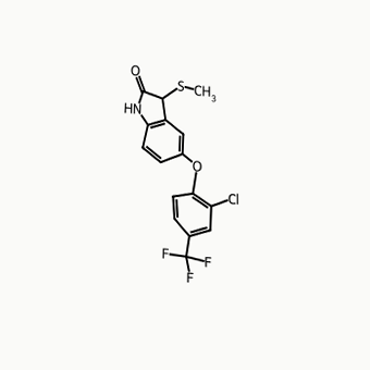 CSC1C(=O)Nc2ccc(Oc3ccc(C(F)(F)F)cc3Cl)cc21